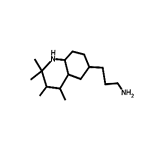 CC1C2CC(CCCN)CCC2NC(C)(C)C1C